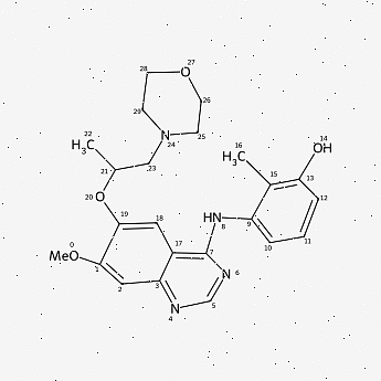 COc1cc2ncnc(Nc3cccc(O)c3C)c2cc1OC(C)CN1CCOCC1